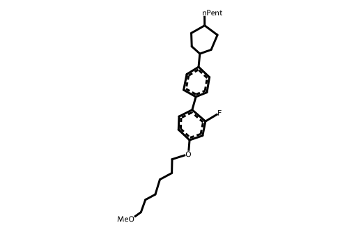 CCCCCC1CCC(c2ccc(-c3ccc(OCCCCCCOC)cc3F)cc2)CC1